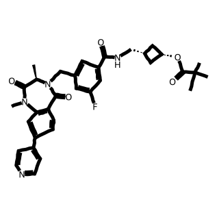 C[C@@H]1C(=O)N(C)c2cc(-c3ccncc3)ccc2C(=O)N1Cc1cc(F)cc(C(=O)NC[C@H]2C[C@@H](OC(=O)C(C)(C)C)C2)c1